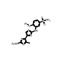 CC(=O)Nc1nc(C)c(-c2csc(Nc3cc(S(N)(=O)=O)ccc3OC(C)C)n2)s1